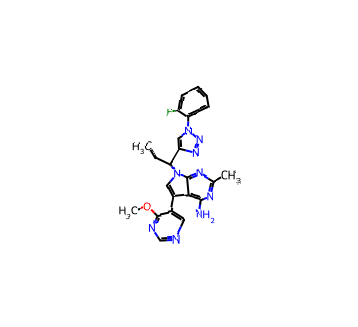 CCC(c1cn(-c2ccccc2F)nn1)n1cc(-c2cncnc2OC)c2c(N)nc(C)nc21